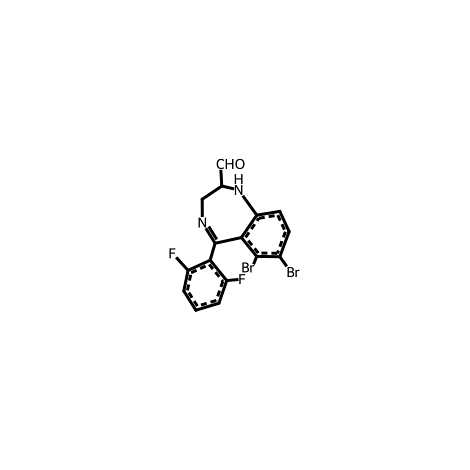 O=CC1CN=C(c2c(F)cccc2F)c2c(ccc(Br)c2Br)N1